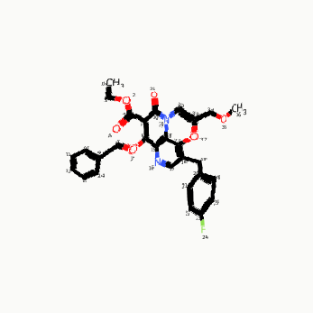 CCOC(=O)c1c(OCc2ccccc2)c2ncc(Cc3ccc(F)cc3)c3c2n(c1=O)C=C(COC)O3